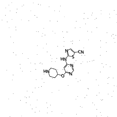 N#Cc1cnc(Nc2cc(OC3CCNCC3)ncn2)s1